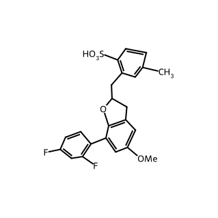 COc1cc2c(c(-c3ccc(F)cc3F)c1)OC(Cc1cc(C)ccc1S(=O)(=O)O)C2